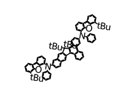 CC(C)(C)c1cccc2c1oc1c(N(c3ccccc3)c3ccc4cc5c(cc4c3)C(C(C)(C)C)(C(C)(C)C)c3c-5c4ccccc4c4cc(N(c5ccccc5)c5cccc6c5oc5c(C(C)(C)C)cccc56)ccc34)cccc12